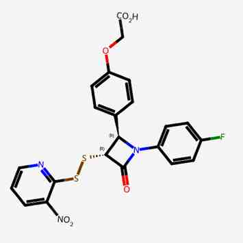 O=C(O)COc1ccc([C@@H]2[C@@H](SSc3ncccc3[N+](=O)[O-])C(=O)N2c2ccc(F)cc2)cc1